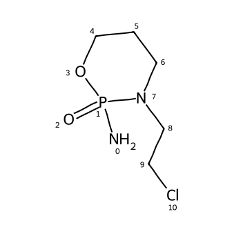 NP1(=O)OCCCN1CCCl